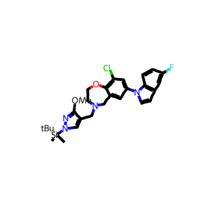 COc1nn([Si](C)(C)C(C)(C)C)cc1CN1CCOc2c(Cl)cc(-n3ccc4cc(F)ccc43)cc2C1